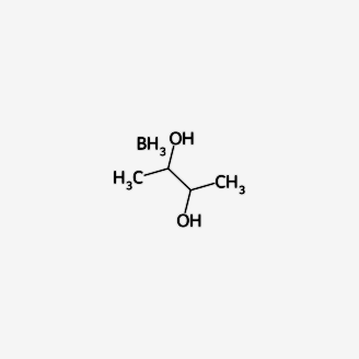 B.CC(O)C(C)O